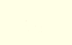 C[S+]([O-])CC1CCOCC1